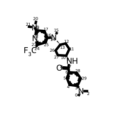 CN(C)c1ccc(C(=O)N[C@H]2CC[C@@H](N(C)c3cc(N(C)C)nc(C(F)(F)F)c3)CC2)cc1